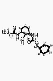 CC(C)(C)OC(=O)N[C@H]1CCC[C@@H](NC(=O)OCc2ccccc2)[C@@]1(C)O